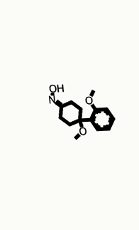 COc1ccccc1C1(OC)CCC(=NO)CC1